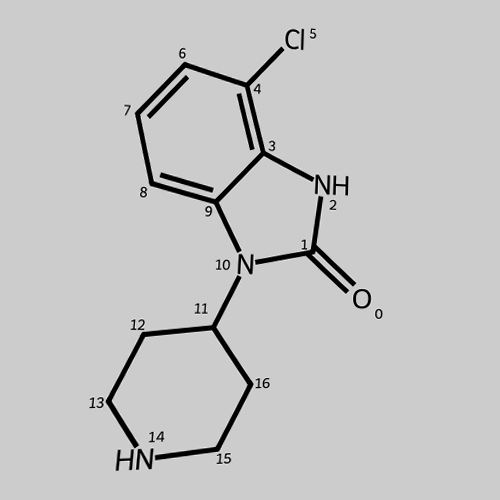 O=c1[nH]c2c(Cl)cccc2n1C1CCNCC1